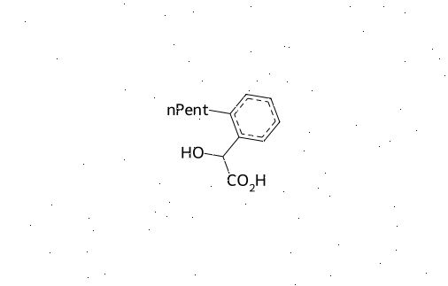 CCCCCc1ccccc1C(O)C(=O)O